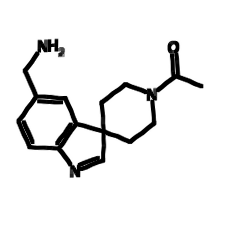 CC(=O)N1CCC2(C=Nc3ccc(CN)cc32)CC1